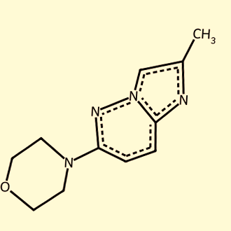 Cc1cn2nc(N3CCOCC3)ccc2n1